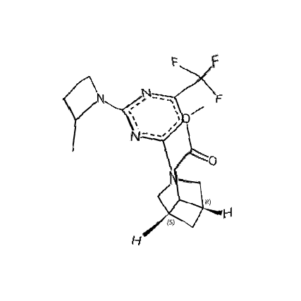 COC(=O)CC1[C@@H]2C[C@H]1CN(c1cc(C(F)(F)F)nc(N3CCC3C)n1)C2